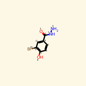 NNC(=O)c1ccc(O)c(Br)c1